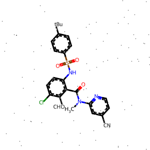 CN(C(=O)c1c(NS(=O)(=O)c2ccc(C(C)(C)C)cc2)ccc(Cl)c1C=O)c1cc(C#N)ccn1